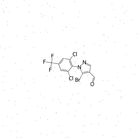 O=Cc1cnn(-c2c(Cl)cc(C(F)(F)F)cc2Cl)c1Br